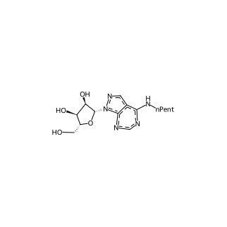 CCCCCNc1ncnc2c1cnn2[C@@H]1O[C@H](CO)[C@@H](O)[C@H]1O